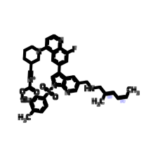 C/C=C\C=C(/C)CNCc1cnc2c(c1)c(-c1cc(F)c3nccc(N4CCCC(C#[N+]C(=O)OC(C)(C)C)C4)c3c1)cn2S(=O)(=O)c1ccc(C)cc1